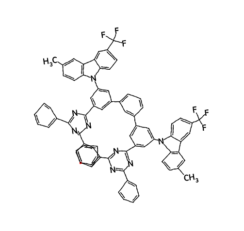 Cc1ccc2c(c1)c1cc(C(F)(F)F)ccc1n2-c1cc(-c2cccc(-c3cc(-c4nc(-c5ccccc5)nc(-c5ccccc5)n4)cc(-n4c5ccc(C)cc5c5cc(C(F)(F)F)ccc54)c3)c2)cc(-c2nc(-c3ccccc3)nc(-c3ccccc3)n2)c1